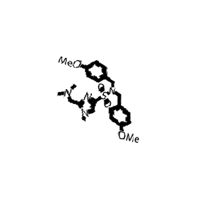 COc1ccc(CN(Cc2ccc(OC)cc2)S(=O)(=O)c2cn(C)c(CN(C)C)n2)cc1